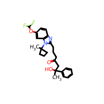 CC(O)(CC(=O)CCCc1nc2ccc(OC(F)F)cc2n1C1(C)CCC1)c1ccccc1